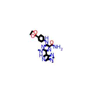 CNc1nc(Nc2ccc(C3OCCO3)cc2)c(C(N)=O)nc1-c1cncc2c1ncn2C